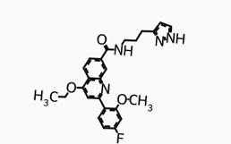 CCOc1cc(-c2ccc(F)cc2OC)nc2cc(C(=O)NCCCc3cc[nH]n3)ccc12